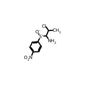 CC(Cl)C(N)[S+]([O-])c1ccc([N+](=O)[O-])cc1